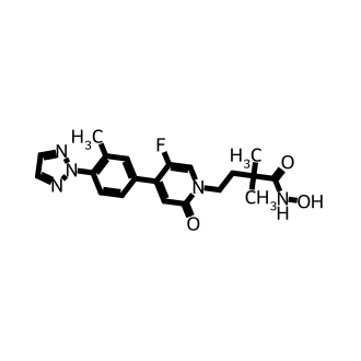 Cc1cc(-c2cc(=O)n(CCC(C)(C)C(=O)NO)cc2F)ccc1-n1nccn1